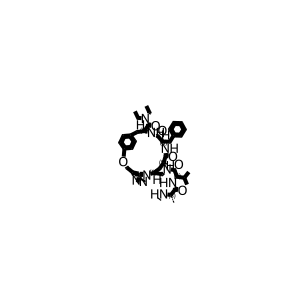 CCN(CC)C(=O)[C@@H]1Cc2ccc(cc2)OCc2cn(nn2)[C@H]2C[C@@H](C(=O)N[C@@H](Cc3ccccc3)C(=O)N1)N(C(=O)[C@@H](NC(=O)[C@H](C)NC)C(C)C)C2